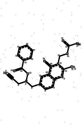 C#CCN(Cc1ccc2nc(C)n(COC(=O)C(C)(C)C)c(=O)c2c1)OC(=O)c1ccccc1